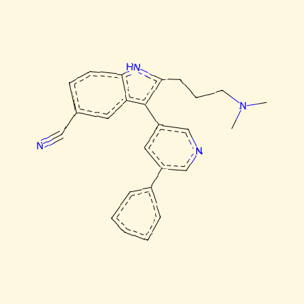 CN(C)CCCc1[nH]c2ccc(C#N)cc2c1-c1cncc(-c2ccccc2)c1